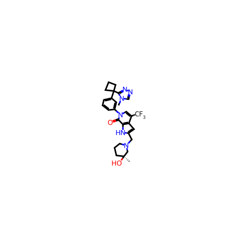 Cn1cnnc1C1(c2cccc(-n3cc(C(F)(F)F)c4cc(CN5CCC[C@](C)(O)C5)[nH]c4c3=O)c2)CCC1